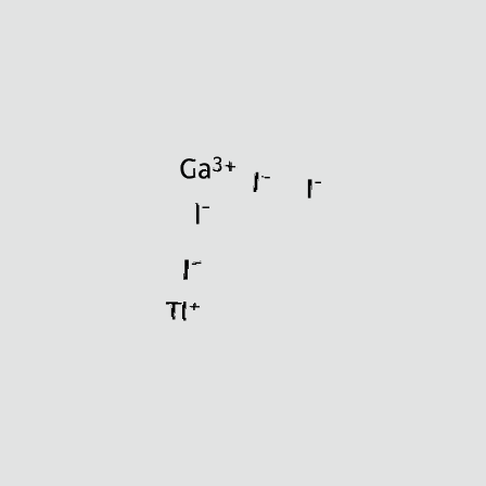 [Ga+3].[I-].[I-].[I-].[I-].[Tl+]